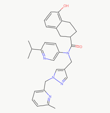 Cc1cccc(Cn2cc(CN(C(=O)C3CCc4c(O)cccc4C3)c3ccc(C(C)C)nc3)cn2)n1